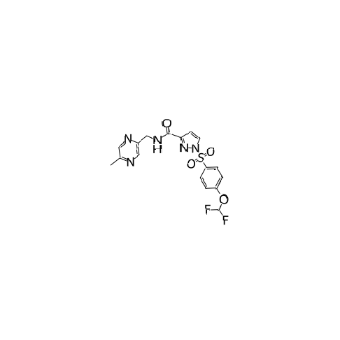 Cc1cnc(CNC(=O)c2ccn(S(=O)(=O)c3ccc(OC(F)F)cc3)n2)cn1